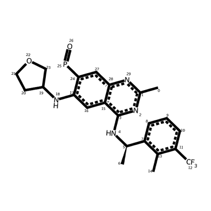 Cc1nc(N[C@H](C)c2cccc(C(F)(F)F)c2C)c2cc(NC3CCOC3)c(P=O)cc2n1